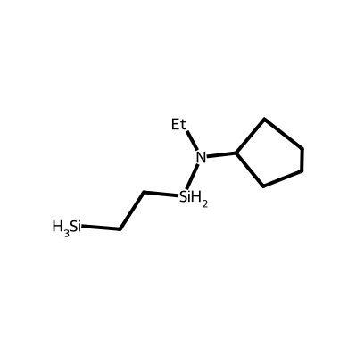 CCN([SiH2]CC[SiH3])C1CCCC1